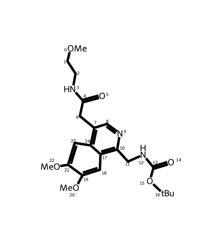 COCCNC(=O)Cc1cnc(CNC(=O)OC(C)(C)C)c2cc(OC)c(OC)cc12